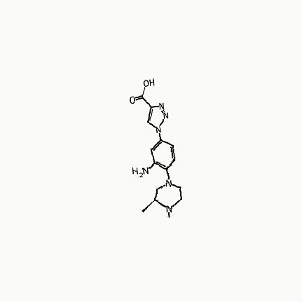 C[C@H]1CN(c2ccc(-n3cc(C(=O)O)nn3)cc2N)CCN1C